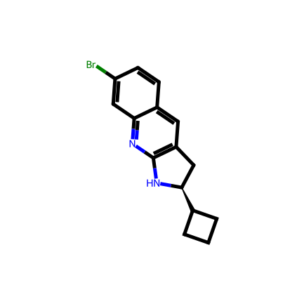 Brc1ccc2cc3c(nc2c1)N[C@H](C1CCC1)C3